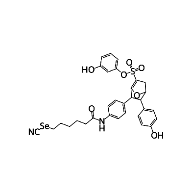 N#C[Se]CCCCCC(=O)Nc1ccc(C2C3=C(S(=O)(=O)Oc4cccc(O)c4)CC(O3)C2c2ccc(O)cc2)cc1